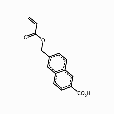 C=CC(=O)OCc1ccc2cc(C(=O)O)ccc2c1